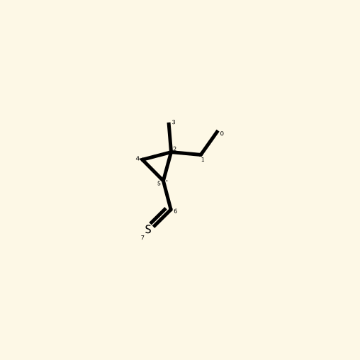 CCC1(C)C[C]1C=S